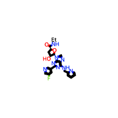 CCNC(=O)[C@@H]1C[C@@H](O)[C@H](n2cnc3c(NCc4ccccn4)nc(-c4cncc(F)c4)nc32)O1